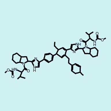 CCC1C=C(c2c[nH]c(C3CC4CCCCC4N3C(=O)C(NC(=O)OC)C(C)C)n2)C(CCC2=CCC(C)C=C2)=CC1c1ccc(-c2c[nH]c(C3CC4CCCCC4N3C(=O)C(NC(=O)OC)C(C)C)n2)cc1